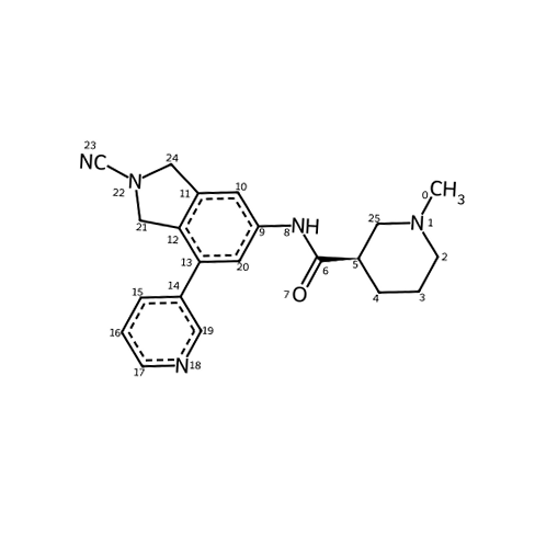 CN1CCC[C@@H](C(=O)Nc2cc3c(c(-c4cccnc4)c2)CN(C#N)C3)C1